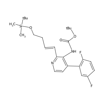 CC(C)(C)OC(=O)Nc1c(-c2cc(F)ccc2F)ccnc1/C=C/CCO[Si](C)(C)C(C)(C)C